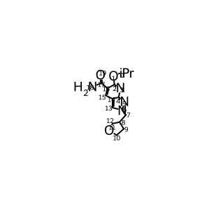 CC(C)Oc1nc2nn(CC3CCOC3)cc2cc1C(N)=O